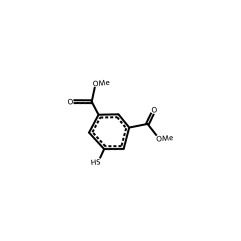 COC(=O)c1cc(S)cc(C(=O)OC)c1